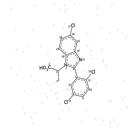 CC(C(=O)O)n1c(-c2cc(Cl)ccc2Cl)nc2cc(Cl)ccc21